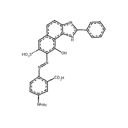 CC(=O)Nc1ccc(/N=N/c2c(S(=O)(=O)O)cc3ccc4nc(-c5ccccc5)[nH]c4c3c2O)c(C(=O)O)c1